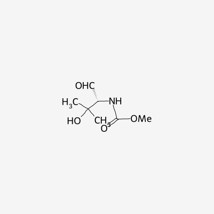 COC(=O)N[C@@H](C=O)C(C)(C)O